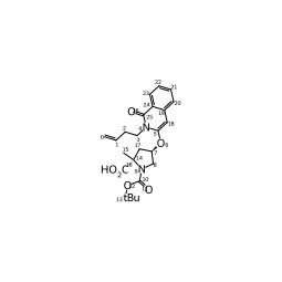 C=CCCn1c(O[C@H]2CN(C(=O)OC(C)(C)C)[C@](C)(C(=O)O)C2)cc2ccccc2c1=O